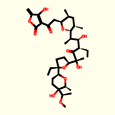 C=C1OC(=O)C(C(=O)C[C@@H]2O[C@@H]([C@H](C)[C@H](O)[C@H](CC)C(=O)[C@](C)(O)[C@@H]3CC[C@@](CC)([C@@H]4CC[C@@](O)([C@@H](C)OC)[C@@H](C)O4)O3)[C@@H](C)C[C@@H]2C)=C1O